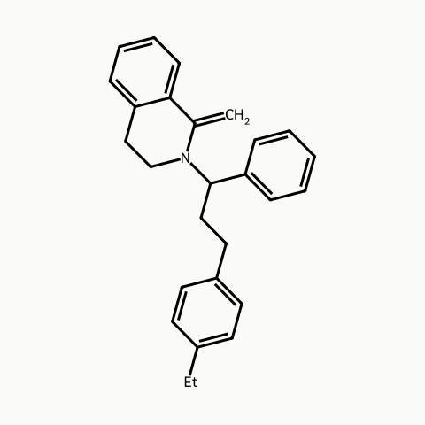 C=C1c2ccccc2CCN1C(CCc1ccc(CC)cc1)c1ccccc1